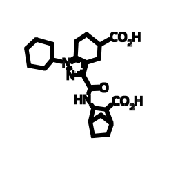 O=C(NC1C2CCC(C2)C1C(=O)O)c1nn(C2CCCCC2)c2c1CC(C(=O)O)CC2